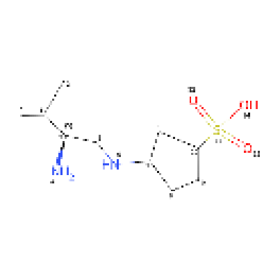 CC(C)[C@H](N)CNC1CCC(S(=O)(=O)O)C1